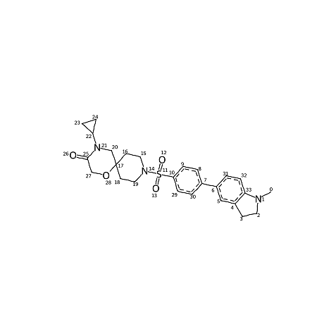 CN1CCc2cc(-c3ccc(S(=O)(=O)N4CCC5(CC4)CN(C4CC4)C(=O)CO5)cc3)ccc21